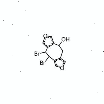 OC1Cc2cocc2C(Br)C(Br)c2cocc21